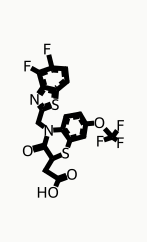 O=C(O)CC1Sc2cc(OC(F)(F)F)ccc2N(Cc2nc3c(F)c(F)ccc3s2)C1=O